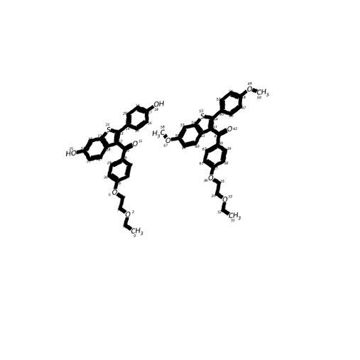 CCOCCOc1ccc(C(=O)c2c(-c3ccc(O)cc3)sc3cc(O)ccc23)cc1.CCOCCOc1ccc(C(=O)c2c(-c3ccc(OC)cc3)sc3cc(OC)ccc23)cc1